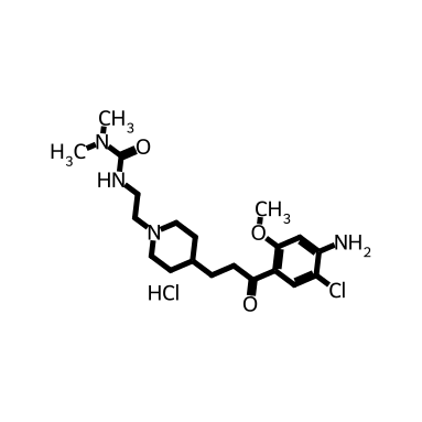 COc1cc(N)c(Cl)cc1C(=O)CCC1CCN(CCNC(=O)N(C)C)CC1.Cl